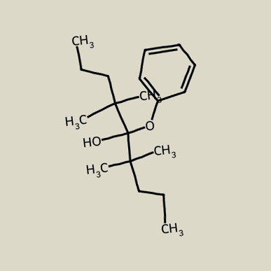 CCCC(C)(C)C(O)(Oc1ccccc1)C(C)(C)CCC